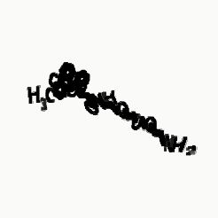 Cc1ccc(C(OC(=O)CCC(=O)NCCCOCCOCCOCCCN)(c2ccccc2)c2ccccc2Cl)cc1